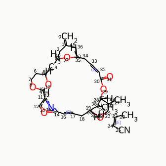 C=C1C[C@@H]2C[C@@H]3CCO[C@@H](O3)c3coc(n3)/C=C/C[C@H]3O[C@@H](/C(C)=C/C#N)[C@H](C)[C@@H](OC(=O)/C=C\C[C@@H](C1)O2)[C@H]3C